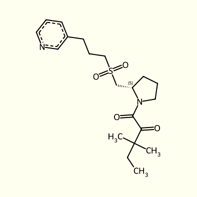 CCC(C)(C)C(=O)C(=O)N1CCC[C@H]1CS(=O)(=O)CCCc1cccnc1